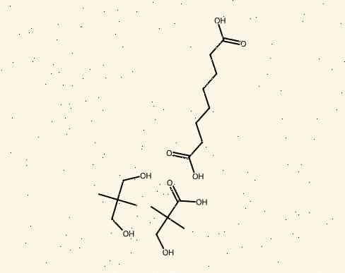 CC(C)(CO)C(=O)O.CC(C)(CO)CO.O=C(O)CCCCCCC(=O)O